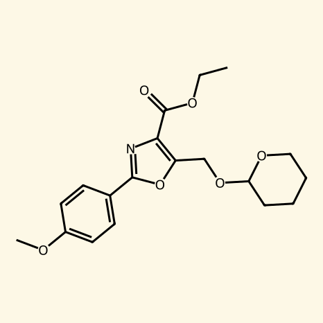 CCOC(=O)c1nc(-c2ccc(OC)cc2)oc1COC1CCCCO1